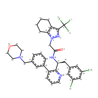 O=C(Cn1nc(C(F)(F)F)c2c1CCCC2)N[C@@H](Cc1cc(F)cc(F)c1)c1ncccc1-c1cccc(CN2CCOCC2)c1